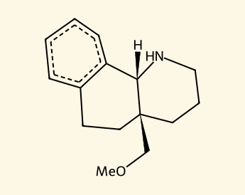 COC[C@]12CCCN[C@H]1c1ccccc1CC2